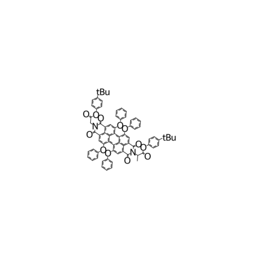 CC(C(=O)Oc1ccc(C(C)(C)C)cc1)N1C(=O)c2cc(Oc3ccccc3)c3c4c(Oc5ccccc5)cc5c6c(cc(Oc7ccccc7)c(c7c(Oc8ccccc8)cc(c2c37)C1=O)c64)C(=O)N(CC(=O)Oc1ccc(C(C)(C)C)cc1)C5=O